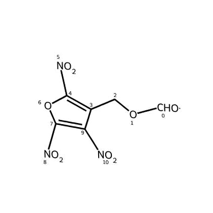 O=[C]OCc1c([N+](=O)[O-])oc([N+](=O)[O-])c1[N+](=O)[O-]